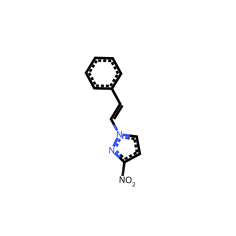 O=[N+]([O-])c1ccn(C=Cc2ccccc2)n1